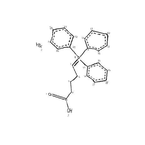 Br.O=C(O)CCCC=P(c1ccccc1)(c1ccccc1)c1ccccc1